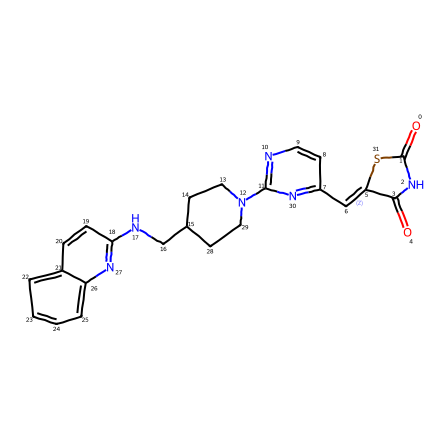 O=C1NC(=O)/C(=C/c2ccnc(N3CCC(CNc4ccc5ccccc5n4)CC3)n2)S1